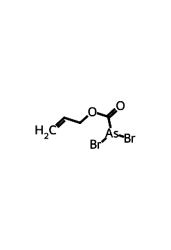 C=CCOC(=O)[As](Br)Br